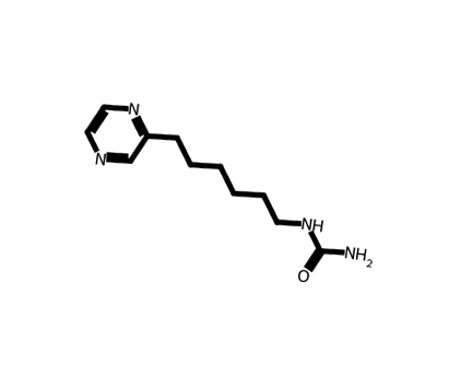 NC(=O)NCCCCCCc1cnccn1